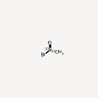 [13CH3][13C](=O)Br